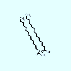 CCCCCCCC/C=C/C=C/C=C/OC(C)=O.CCCCCCCCCC/C=C/C=C/CC(=O)O